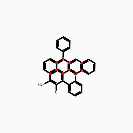 Pc1ccc(-c2ccccc2P(c2ccccc2)c2ccccc2)c(-c2ccccc2P(c2ccccc2)c2ccccc2)c1Cl